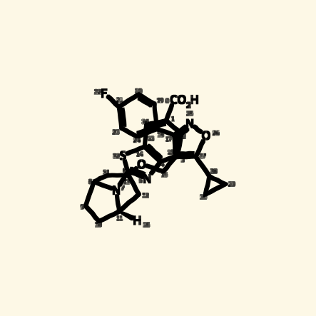 O=C(O)c1ccc2nc(N3C4CC[C@H]3CC(OCc3c(-c5ccc(F)cc5)noc3C3CC3)C4)sc2c1